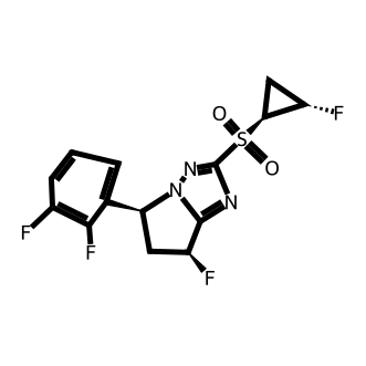 O=S(=O)(c1nc2n(n1)[C@H](c1cccc(F)c1F)C[C@@H]2F)[C@H]1C[C@@H]1F